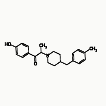 Cc1ccc(CC2CCN(C(C)C(=O)c3ccc(O)cc3)CC2)cc1